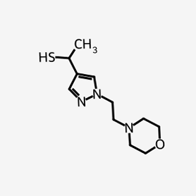 CC(S)c1cnn(CCN2CCOCC2)c1